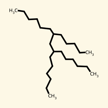 CCCCCCC(CCCCC)CC(CCCCCC)CCCCCC